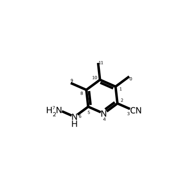 Cc1c(C#N)nc(NN)c(C)c1C